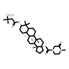 CN1CCN(C(=O)C[C@]23CCC[C@@H]2[C@H]2CCC4[C@@]5(C)CC[C@H](OC(=O)CC(C)(C)C(=O)O)C(C)(C)C5CC[C@@]4(C)[C@]2(C)CC3)CC1=O